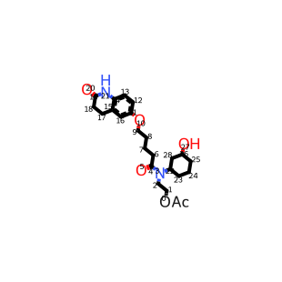 CC(=O)OCCN(C(=O)CCCCOc1ccc2c(c1)CCC(=O)N2)C1CCCC(O)C1